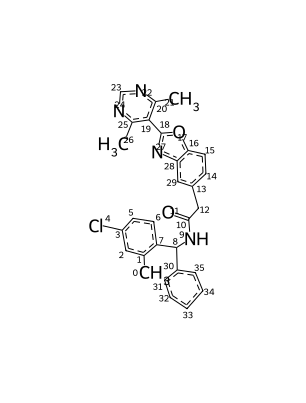 Cc1cc(Cl)ccc1C(NC(=O)Cc1ccc2oc(-c3c(C)ncnc3C)nc2c1)c1ccccc1